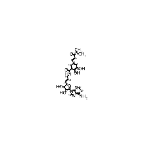 CN(C)C(=O)C=Cc1cc(O)c(O)c(C(=O)NCC=CC2OC(n3cnc4c(N)ncnc43)[C@H](O)C2O)c1